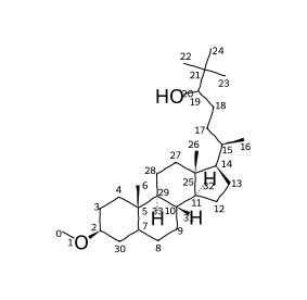 CO[C@H]1CC[C@@]2(C)C(CC[C@H]3[C@@H]4CC[C@H]([C@H](C)CCC(O)C(C)(C)C)[C@@]4(C)CC[C@@H]32)C1